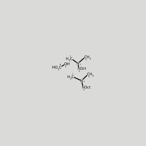 CCCCCCCCN(C)C.CCCCCCCCN(C)C.O=C(O)O